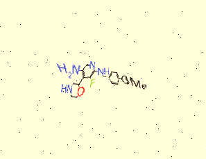 COc1ccc(CNc2ncc(N)c(C3CNCCO3)c2F)cc1